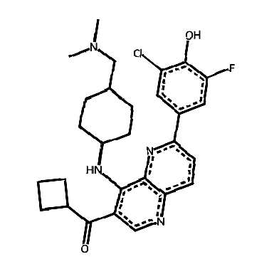 CN(C)CC1CCC(Nc2c(C(=O)C3CCC3)cnc3ccc(-c4cc(F)c(O)c(Cl)c4)nc23)CC1